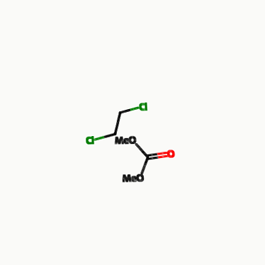 COC(=O)OC.ClCCCl